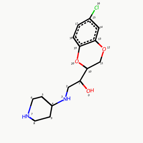 OC(CNC1CCNCC1)C1COc2cc(Cl)ccc2O1